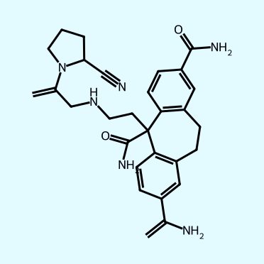 C=C(N)c1ccc2c(c1)CCc1cc(C(N)=O)ccc1C2(CCNCC(=C)N1CCCC1C#N)C(N)=O